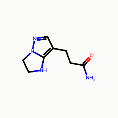 NC(=O)CCc1cnn2c1NCC2